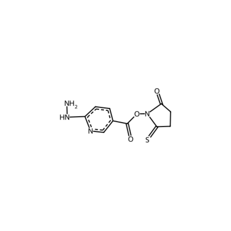 NNc1ccc(C(=O)ON2C(=O)CCC2=S)cn1